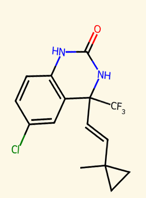 CC1(C=CC2(C(F)(F)F)NC(=O)Nc3ccc(Cl)cc32)CC1